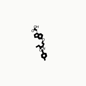 CCc1oc(-c2ccc(C)cc2)nc1CCOc1ccc2c(c1)CC[C@@H]2CC(=O)O